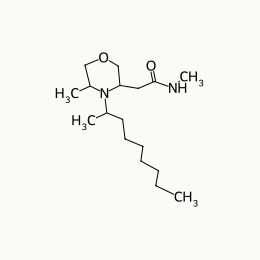 CCCCCCCC(C)N1C(C)COCC1CC(=O)NC